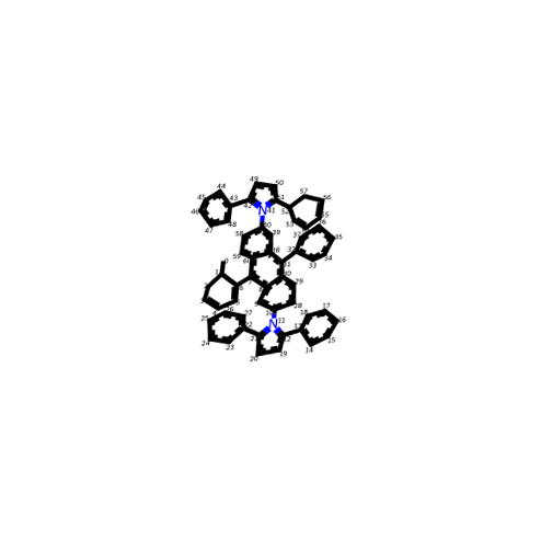 CC1CC=CC=C1c1c2cc(-n3c(-c4ccccc4)ccc3-c3ccccc3)ccc2c(-c2ccccc2)c2cc(-n3c(-c4ccccc4)ccc3C3C=CC=CC3)ccc12